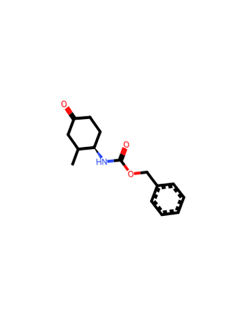 CC1CC(=O)CC[C@H]1NC(=O)OCc1ccccc1